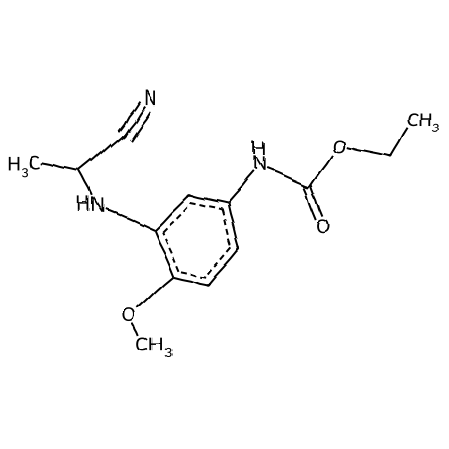 CCOC(=O)Nc1ccc(OC)c(NC(C)C#N)c1